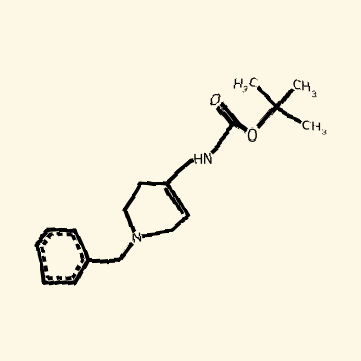 CC(C)(C)OC(=O)NCC1=CCN(Cc2ccccc2)CC1